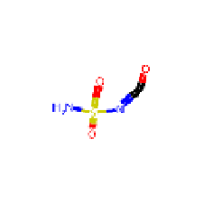 NS(=O)(=O)N=C=O